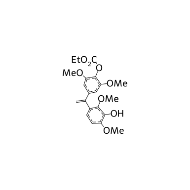 C=C(c1cc(OC)c(OC(=O)OCC)c(OC)c1)c1ccc(OC)c(O)c1OC